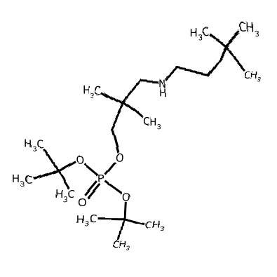 CC(C)(C)CCNCC(C)(C)COP(=O)(OC(C)(C)C)OC(C)(C)C